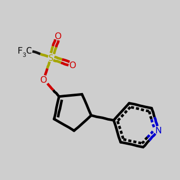 O=S(=O)(OC1=CCC(c2ccncc2)C1)C(F)(F)F